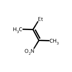 CCC(C)=C(C)[N+](=O)[O-]